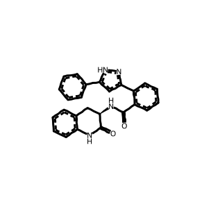 O=C(N[C@@H]1Cc2ccccc2NC1=O)c1ccccc1-c1cc(-c2ccccc2)[nH]n1